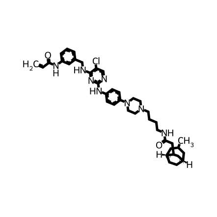 C=CC(=O)Nc1cccc(CNc2nc(Nc3ccc(N4CCN(CCCCNC(=O)CC5C[C@H]6CC[C@@H]5CC(C)C6)CC4)cc3)ncc2Cl)c1